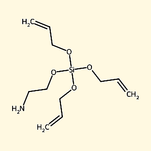 C=CCO[Si](OCC=C)(OCC=C)OCCN